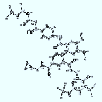 C=Cc1cc(C(=O)Nc2ccc(C(=N)NC(=O)OC(C)OC(=C)C)cc2)c(-c2ccc(C(=O)NCC3CC3)nc2C(=O)OCOC(=O)[C@@H](NC(=O)OC(C)(C)C)C(C)C)cc1OC